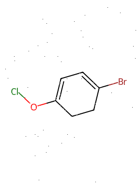 ClOC1=CC=C(Br)CC1